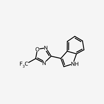 FC(F)(F)c1nc(-c2c[nH]c3ccccc23)no1